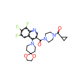 O=C(c1cnc2c(F)c(F)c(F)cc2c1N1CCC2(CC1)OCCO2)N1CCN(C(=O)C2CC2)CC1